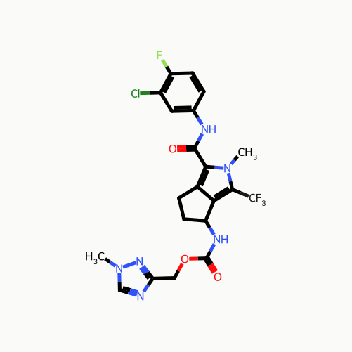 Cn1cnc(COC(=O)NC2CCc3c2c(C(F)(F)F)n(C)c3C(=O)Nc2ccc(F)c(Cl)c2)n1